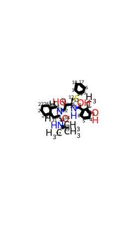 Cc1c(O)cccc1C(O)N[C@H](CSc1ccccc1)[C@H](O)CN1C[C@H]2CCCC[C@H]2C[C@H]1C(=O)NC(C)(C)C